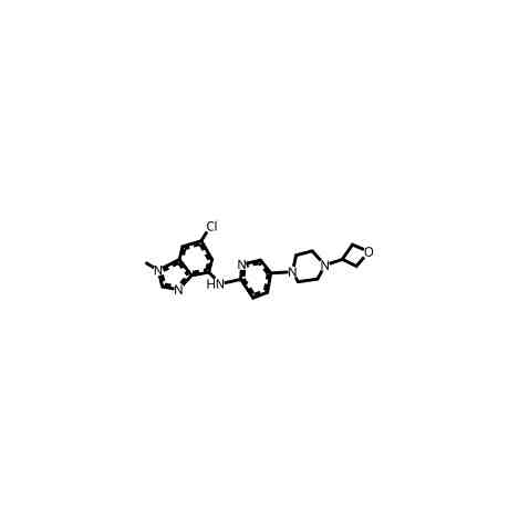 Cn1cnc2c(Nc3ccc(N4CCN(C5COC5)CC4)cn3)cc(Cl)cc21